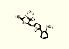 CN1C(=N)S/C(=C/c2ccc(-c3ccccc3[N+](=O)[O-])o2)C1=O